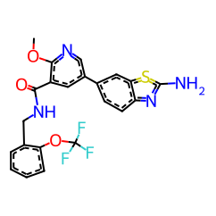 COc1ncc(-c2ccc3nc(N)sc3c2)cc1C(=O)NCc1ccccc1OC(F)(F)F